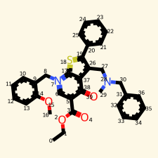 CCOC(=O)c1cn(Cc2ccccc2OC)c2sc(-c3ccccc3)c(CN(C)Cc3ccccc3)c2c1=O